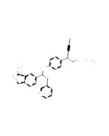 CC#CC(CC(=O)O)c1ccc(OC(Cc2cccnc2)c2ccc3cn[nH]c3c2)cc1